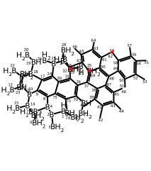 BBB(B)B(B(B)B)c1c(B(B(B)B)B(B)B)c(B(BB)B(B)B)c(B(B)B(B)B)c2c(B(B)BB)c(-c3c4c(C)c(C)c(C)c(C)c4c(-c4c(C)c(C)c(C)c(C)c4C)c4c(C)c(C)c(C)c(C)c34)c(BB)c(B)c12